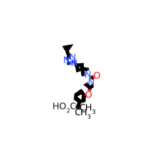 CC(C)(C(=O)O)c1cccc(OC2CN(C(=O)N3CC4(CC(n5cnc(C6CC6)n5)C4)C3)C2)c1